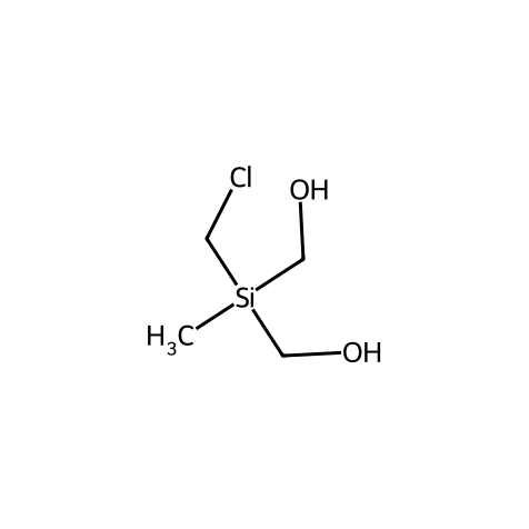 C[Si](CO)(CO)CCl